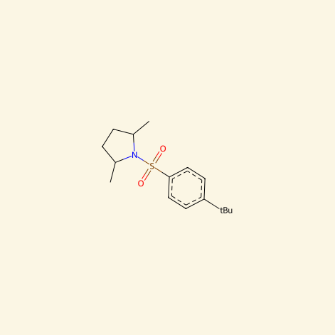 CC1CCC(C)N1S(=O)(=O)c1ccc(C(C)(C)C)cc1